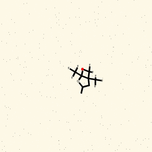 CC1CC(C(F)(F)F)(C(F)(F)F)C(F)(C(F)(F)F)O1